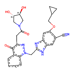 N#Cc1cc2[nH]c(Cn3nc(CC(=O)N4C[C@H](O)[C@@H](O)C4)c(=O)c4ccccc43)nc2cc1OCC1CC1